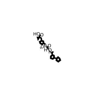 COc1ccc(CC2(C(=O)O)CC2)cc1CNC(=O)CO/N=C(\C)c1cccc(-c2ccccc2)c1